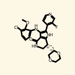 COc1c(Cl)cccc1Nc1c(-c2ccncc2F)[nH]c2c1C(=O)NC[C@H]2C[C@H]1COCCO1